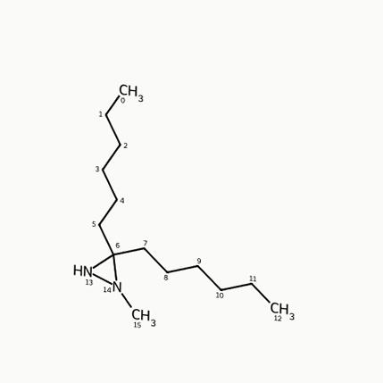 CCCCCCC1(CCCCCC)NN1C